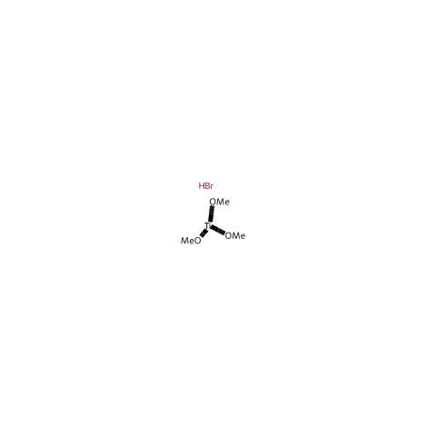 Br.C[O][Ti]([O]C)[O]C